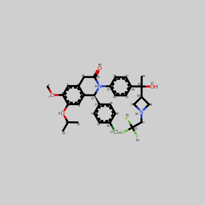 COc1cc2c(cc1OC(C)C)[C@H](c1ccc(Cl)cc1)N(c1ccc(C(C)(O)C3CN(CC(F)(F)F)C3)cc1)C(=O)C2